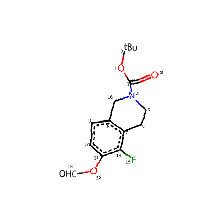 CC(C)(C)OC(=O)N1CCc2c(ccc(OC=O)c2F)C1